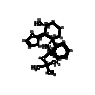 CC(C)(C)OC(=O)N[C@@]1(c2ccccc2)CCC[C@@H](O)C1=C1CC=CO1